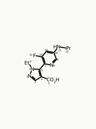 CCn1ncc(C(=O)O)c1-c1ncc(NC(C)C)cc1F